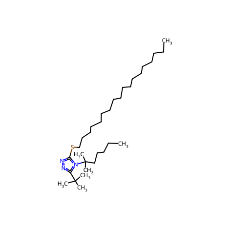 CCCCCCCCCCCCCCCCCCSc1nnc(C(C)(C)C)n1C(C)(C)CCCCC